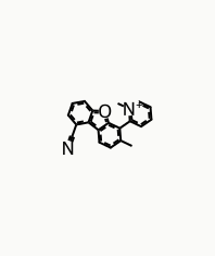 Cc1ccc2c(oc3cccc(C#N)c32)c1-c1cccc[n+]1C